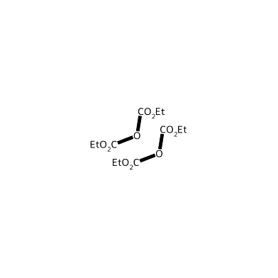 CCOC(=O)OC(=O)OCC.CCOC(=O)OC(=O)OCC